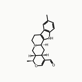 Cc1ccc2[nH]c3c(c2c1)CCN1C[C@H]2[C@H](C)OC=C(C=O)[C@H]2C[C@H]31